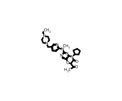 CCN1CCN(Cc2ccc(N(C)c3ncc4c(n3)N(C3CCCC3)C(=O)C(C(C)=O)O4)nc2)CC1